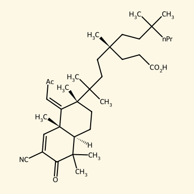 CCCC(C)(C)CC[C@](C)(CCC(=O)O)CCC(C)(C)[C@]1(C)CC[C@H]2C(C)(C)C(=O)C(C#N)=C[C@]2(C)/C1=C/C(C)=O